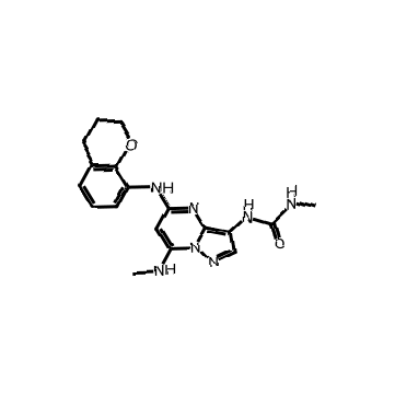 CNC(=O)Nc1cnn2c(NC)cc(Nc3cccc4c3OCCC4)nc12